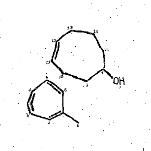 Cc1ccccc1.OC1CCC=CCCC1